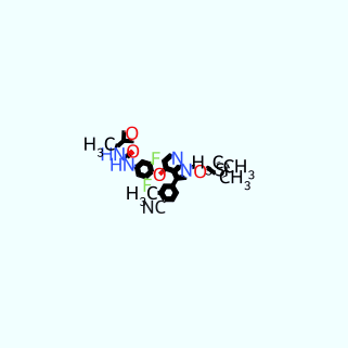 Cc1cc(-c2cn(COCC[Si](C)(C)C)c3nccc(Oc4c(F)cc(NC(=O)NC(C)C5COC5)cc4F)c23)ccc1C#N